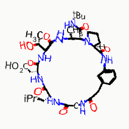 CC(C)C[C@H]1NC(=O)CNC(=O)Cc2cccc(c2)NC(=O)[C@@H]2CCCN2[C@H](C(=O)NC(C)(C)C)[C@H](C)NC(=O)[C@H]([C@@H](C)O)NC(=O)[C@@H](CC(=O)O)NC1=O